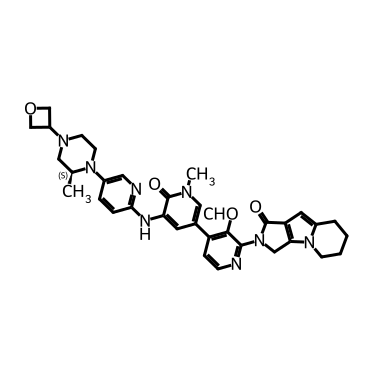 C[C@H]1CN(C2COC2)CCN1c1ccc(Nc2cc(-c3ccnc(N4Cc5c(cc6n5CCCC6)C4=O)c3C=O)cn(C)c2=O)nc1